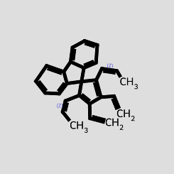 C=CC1=C(/C=C\C)C2(C(/C=C\C)=C1C=C)c1ccccc1-c1ccccc12